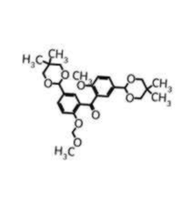 COCOc1ccc(C2OCC(C)(C)CO2)cc1C(=O)c1cc(C2OCC(C)(C)CO2)ccc1OC